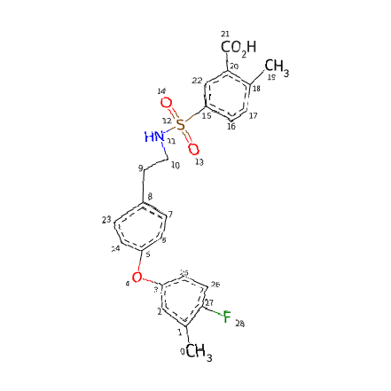 Cc1cc(Oc2ccc(CCNS(=O)(=O)c3ccc(C)c(C(=O)O)c3)cc2)ccc1F